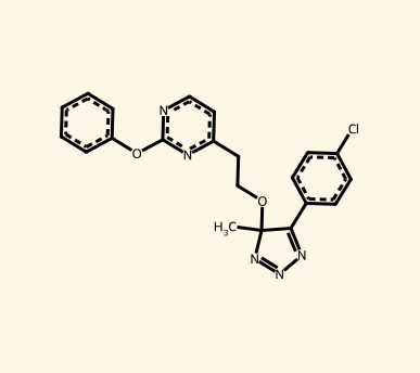 CC1(OCCc2ccnc(Oc3ccccc3)n2)N=NN=C1c1ccc(Cl)cc1